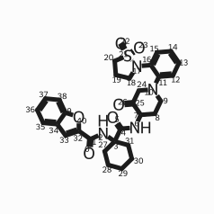 O=C(NC1(C(=O)NC2CCN(c3ccccc3N3CCCS3(=O)=O)CC2=O)CCCCC1)c1cc2ccccc2o1